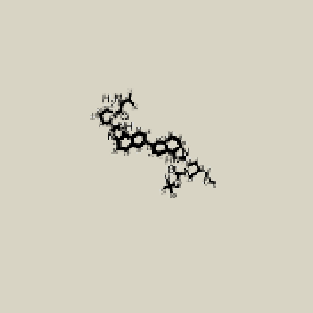 COC[C@H]1C[C@@H](c2nc3ccc4cc(-c5ccc6c(ccc7nc([C@@H]8C[C@H](C)CN8C(=O)[C@@H](N)C(C)C)[nH]c76)c5)ccc4c3[nH]2)N(C(=O)OC(C)(C)C)C1